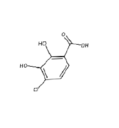 O=C(O)c1ccc(Cl)c(O)c1O